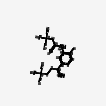 Cc1ccc(C(=N)CCC(F)(F)F)cc1NC(=O)CC(F)(F)F